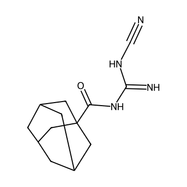 N#CNC(=N)NC(=O)C12CC3CC(CC(C3)C1)C2